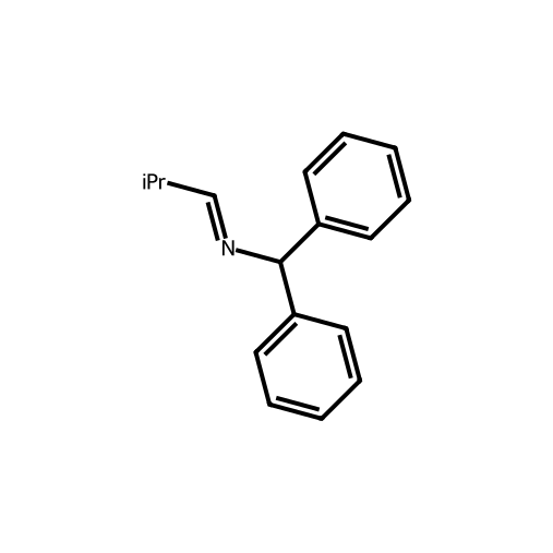 CC(C)C=NC(c1ccccc1)c1ccccc1